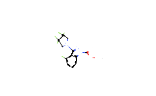 CC(C)(C)OC(=O)n1nc(N2CC(F)(F)C(F)(F)C2)c2c(F)cccc21